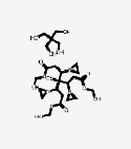 CCC(C(CC(=O)OCO)N1CC1)(C(CC(=O)OCO)N1CC1)C(CC(=O)OCO)N1CC1.OCC(CO)(CO)CO